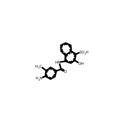 Cc1cc(C(=O)Nc2cc(O)c(S(=O)(=O)O)c3ccccc23)ccc1N